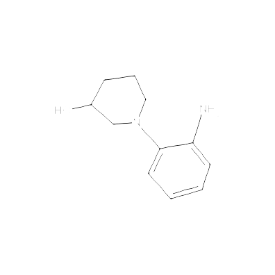 Nc1ccccc1N1CCCC(O)C1